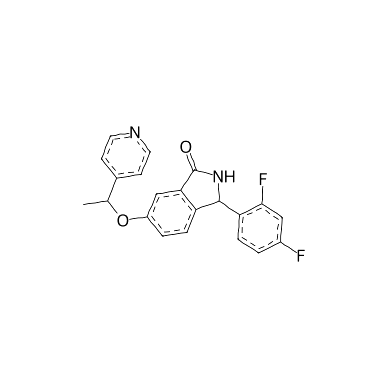 CC(Oc1ccc2c(c1)C(=O)NC2c1ccc(F)cc1F)c1ccncc1